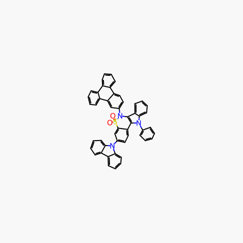 O=S1(=O)c2cc(-n3c4ccccc4c4ccccc43)ccc2-c2c(c3ccccc3n2-c2ccccc2)N1c1ccc2c3ccccc3c3ccccc3c2c1